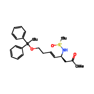 COC(=O)C[C@@H](/C=C/CCO[Si](c1ccccc1)(c1ccccc1)C(C)(C)C)N[S@+]([O-])C(C)(C)C